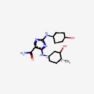 C[C@@H]1CC[C@@H](Nc2nc(NC3CCC(O)CC3)ncc2C(N)=O)CC1O